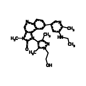 CCNc1cc(-c2ccc3ncc4c(c3c2)n(-c2c(C)nn(CCO)c2C)c(=O)n4C)cnc1C